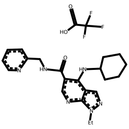 CCn1ncc2c(NC3CCCCC3)c(C(=O)NCc3ccccn3)cnc21.O=C(O)C(F)(F)F